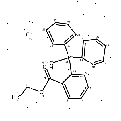 CCOC(=O)c1ccccc1[P+](C)(c1ccccc1)c1ccccc1.[Cl-]